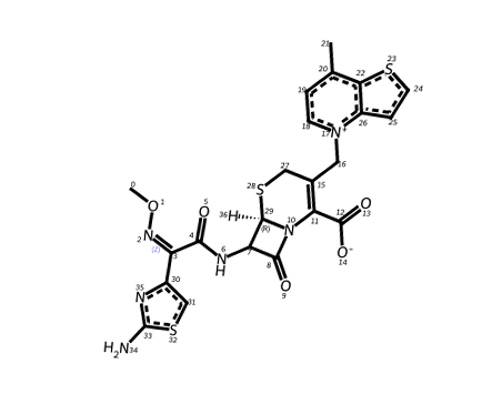 CO/N=C(\C(=O)NC1C(=O)N2C(C(=O)[O-])=C(C[n+]3ccc(C)c4sccc43)CS[C@H]12)c1csc(N)n1